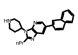 CCCc1nc2cc(-c3ccc4ccccc4c3)cnc2n1C1CCNCC1